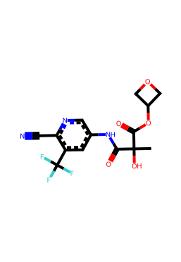 CC(O)(C(=O)Nc1cnc(C#N)c(C(F)(F)F)c1)C(=O)OC1COC1